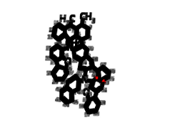 CC1C=CC2(C)C3=C1C(C)c1ccccc1C3(C)N(c1cccc3c1oc1ccccc13)c1cc3cc(N(c4ccc5ccccc5c4)c4cccc5c4oc4ccccc45)c(-c4ccccc4)cc3cc12